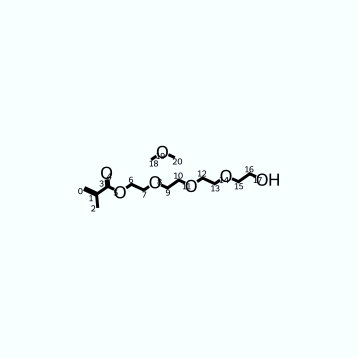 C=C(C)C(=O)OCCOCCOCCOCCO.COC